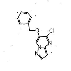 Clc1nc2ccnn2cc1OCc1ccccc1